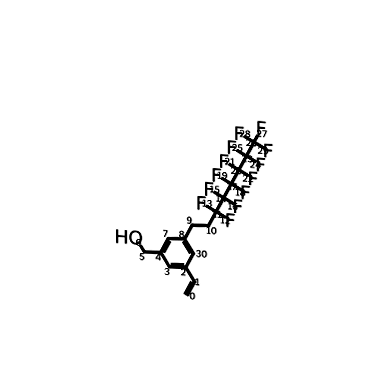 C=Cc1cc(CO)cc(CCC(F)(F)C(F)(F)C(F)(F)C(F)(F)C(F)(F)C(F)(F)F)c1